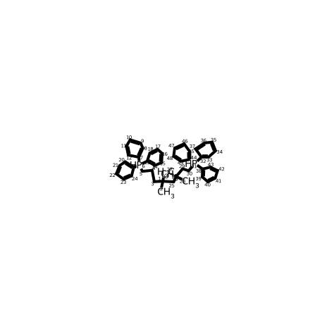 CC(C)(CCC[PH](c1ccccc1)(c1ccccc1)c1ccccc1)CC(C)(C)CC[PH](c1ccccc1)(c1ccccc1)c1ccccc1